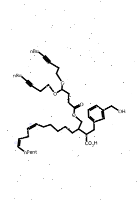 CCCCC#CCCOC(CCC(=O)OCC(CCCCC/C=C\C/C=C\CCCCC)C(Cc1cccc(CO)c1)C(=O)O)OCCC#CCCCC